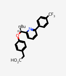 CCCC[C@H](Oc1ccc(CC(=O)O)cc1)c1cccc(-c2ccc(C(F)(F)F)cc2)n1